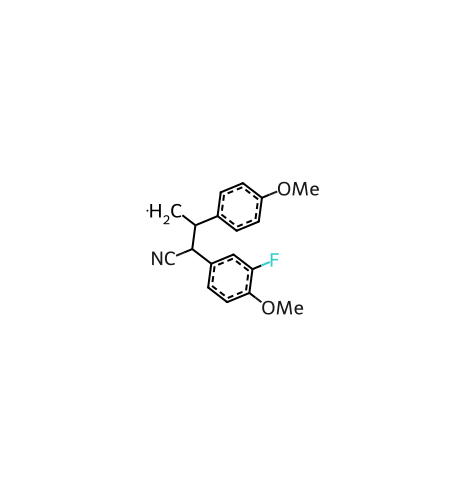 [CH2]C(c1ccc(OC)cc1)C(C#N)c1ccc(OC)c(F)c1